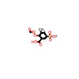 Cc1cc(S(=O)(=O)O)cc(C(=O)O)c1OOC=O